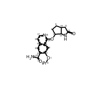 CC(C)Oc1cc2c(OC3CCC4CC(=O)NC43)nccc2cc1C(N)=O